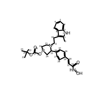 Cc1[nH]c2ccccc2c1CCN1CCN(OC(=O)OC(C)(C)C)CC1c1ccc(/C=C/C(=O)NO)cc1